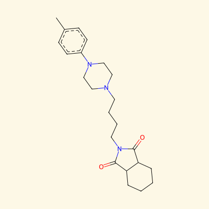 Cc1ccc(N2CCN(CCCCN3C(=O)C4CCCCC4C3=O)CC2)cc1